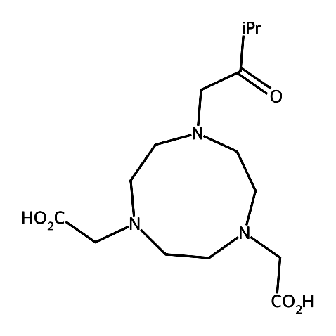 CC(C)C(=O)CN1CCN(CC(=O)O)CCN(CC(=O)O)CC1